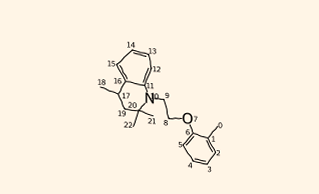 Cc1ccccc1OCCN1c2ccccc2C(C)CC1(C)C